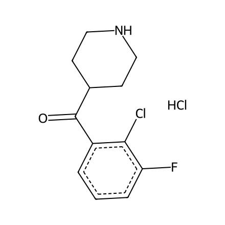 Cl.O=C(c1cccc(F)c1Cl)C1CCNCC1